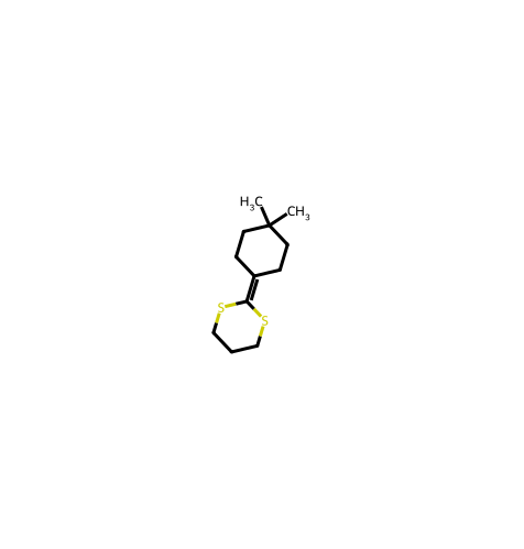 CC1(C)CCC(=C2SCCCS2)CC1